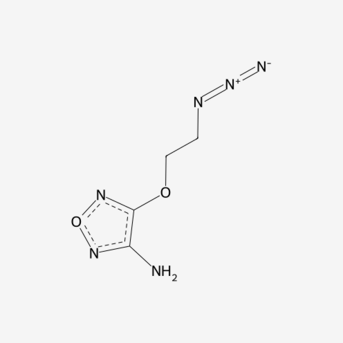 [N-]=[N+]=NCCOc1nonc1N